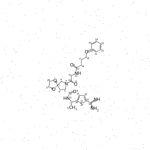 CC(NC(=O)[C@@H]1CC2(CN1C(=O)CNC(=O)CCCOc1ccccc1)OCCO2)c1ccc(C(=N)N)s1